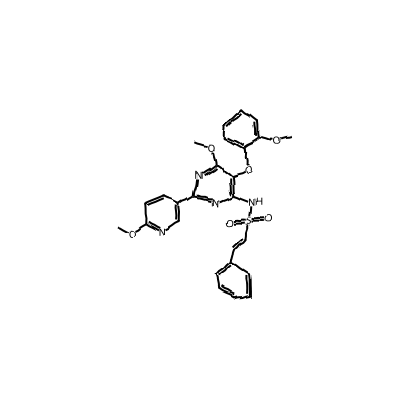 COc1ccc(-c2nc(NS(=O)(=O)C=Cc3ccccc3)c(Oc3ccccc3OC)c(OC)n2)cn1